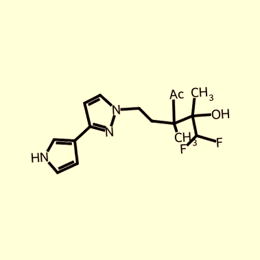 CC(=O)C(C)(CCn1ccc(-c2cc[nH]c2)n1)C(C)(O)C(F)F